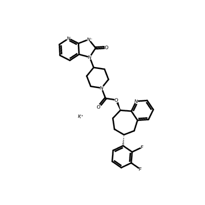 O=C(O[C@@H]1CC[C@@H](c2cccc(F)c2F)Cc2cccnc21)N1CCC(n2c(=O)[n-]c3ncccc32)CC1.[K+]